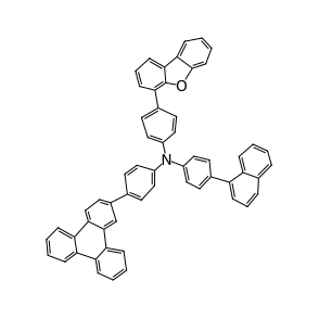 c1ccc2c(-c3ccc(N(c4ccc(-c5ccc6c7ccccc7c7ccccc7c6c5)cc4)c4ccc(-c5cccc6c5oc5ccccc56)cc4)cc3)cccc2c1